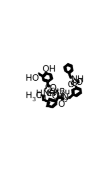 C[C@H](Cc1cccc(CC(=O)NCc2cccc(S(=O)(=O)NCc3ccccc3)c2)c1)NC[C@H](O[Si](C)(C)C(C)(C)C)c1ccc(O)c(CO)c1